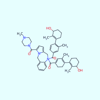 CC1=C(C2=C(C)C(O)CCC2)CCC(C(=O)[N+]2(C(=O)c3ccc(C4=C(C)C(O)CCC4)c(C)c3)Cc3ccc(C(=O)N4CCN(C)CC4)n3Cc3ccccc32)=C1